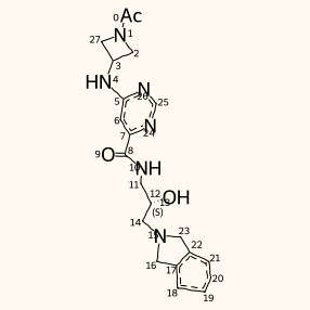 CC(=O)N1CC(Nc2cc(C(=O)NC[C@H](O)CN3Cc4ccccc4C3)ncn2)C1